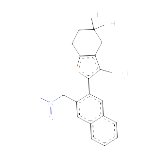 CN(N)Cc1cc2ccccc2cc1-c1sc2c(c1C(=O)O)CC(C)(C)CC2